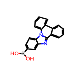 OB(O)c1ccc2c(c1)nc1c3ccccc3c3ccccc3n21